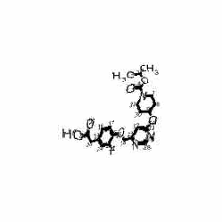 CC(C)OC(=O)N1CCC(Oc2cc(COc3ccc(CC(=O)O)cc3F)ncn2)CC1